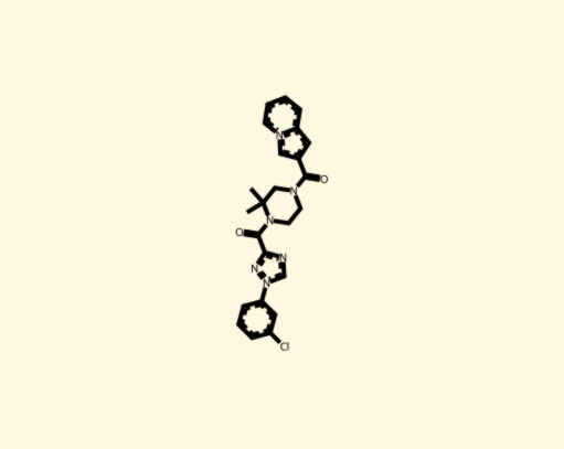 CC1(C)CN(C(=O)c2cc3ccccn3c2)CCN1C(=O)c1ncn(-c2cccc(Cl)c2)n1